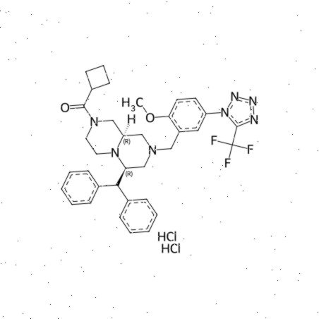 COc1ccc(-n2nnnc2C(F)(F)F)cc1CN1C[C@@H]2CN(C(=O)C3CCC3)CCN2[C@H](C(c2ccccc2)c2ccccc2)C1.Cl.Cl